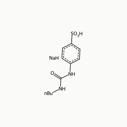 CCCCNC(=O)Nc1ccc(S(=O)(=O)O)cc1.[NaH]